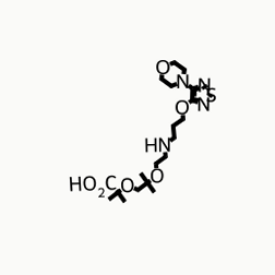 CC(C)(COC(C)(C)C(=O)O)OCCNCCCOc1nsnc1N1CCOCC1